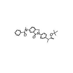 C=C(OC(C)(C)C)C(C)c1ccc(N2Cc3ccc(N(C)C(=O)c4ccccc4)cc3C2=O)cc1